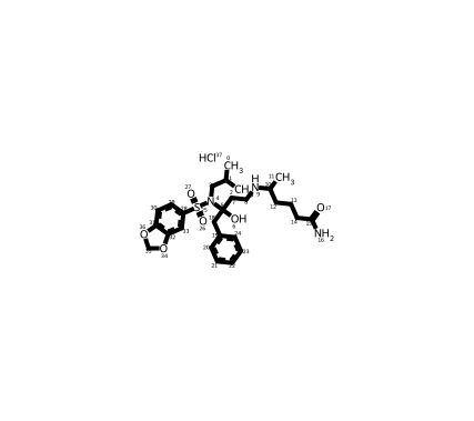 CC(C)CN(C(O)(CCNC(C)CCCC(N)=O)Cc1ccccc1)S(=O)(=O)c1ccc2c(c1)OCO2.Cl